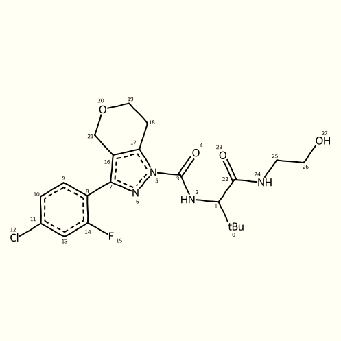 CC(C)(C)C(NC(=O)n1nc(-c2ccc(Cl)cc2F)c2c1CCOC2)C(=O)NCCO